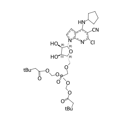 CC(C)(C)CC(=O)OCOP(=O)(COC[C@H]1O[C@@H](n2ccc3c(NC4CCCC4)c(C#N)c(Cl)nc32)[C@H](O)[C@@H]1O)OCOC(=O)CC(C)(C)C